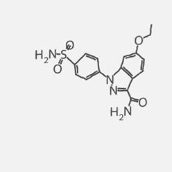 CCOc1ccc2c(C(N)=O)nn(-c3ccc(S(N)(=O)=O)cc3)c2c1